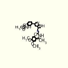 COc1ccc([C@@H](C)NC(=O)/C=C/c2c[nH]c3ncc(-c4cccc(NS(C)(=O)=O)c4)cc23)cc1OC